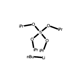 CC(C)[O][Ti]([O]C(C)C)([O]C(C)C)[O]C(C)C.[Li][CH2]CCC